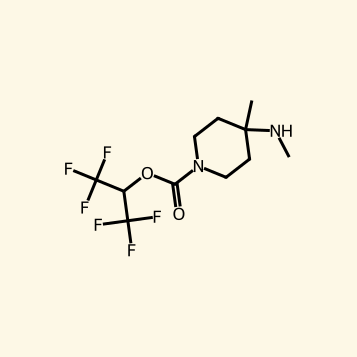 CNC1(C)CCN(C(=O)OC(C(F)(F)F)C(F)(F)F)CC1